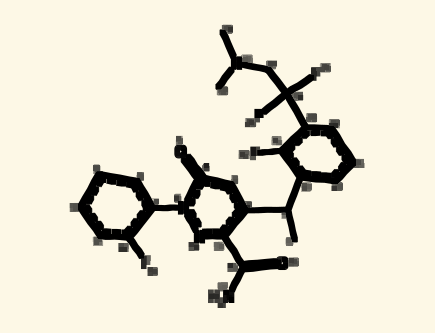 CC(c1cc(=O)n(-c2ccccc2F)nc1C(N)=O)c1cccc(C(F)(F)CN(C)C)c1F